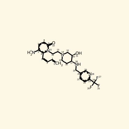 C=C/C=C\c1c(N)ccc(=O)n1CCN1CC[C@H](NCc2ccc(C(F)(F)F)nc2)[C@H](O)C1